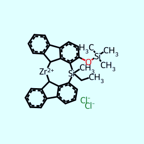 CC[Si]1(C)c2cccc3c2[CH]([Zr+2][CH]2c4ccccc4-c4ccc(O[Si](C)(C)C)c1c42)c1ccccc1-3.[Cl-].[Cl-]